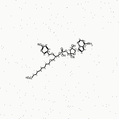 CCCCCCCCCCCCCCCCCCOC[C@H](COP(=O)(O)OC[C@]1(C#N)C[C@@H](O)[C@H](c2ccc3c(N)ncnn23)O1)OCc1ccc(C#N)nc1